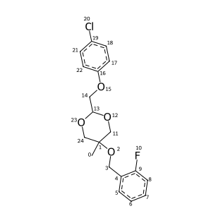 CC1(OCc2ccccc2F)COC(COc2ccc(Cl)cc2)OC1